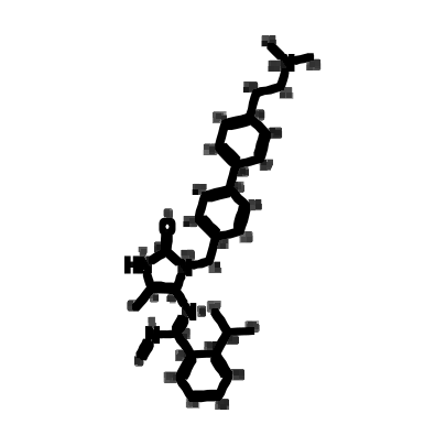 C=N/C(=N\c1c(C)[nH]c(=O)n1Cc1ccc(-c2ccc(CCN(C)C)cc2)cc1)c1ccccc1C(C)C